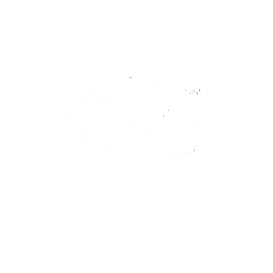 CNC12CC3c4ccccc4C1CC3(C)C2